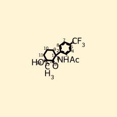 CC(=O)N[C@@]1(c2ccc(C(F)(F)F)cc2)CCC[C@](C)(O)C1=O